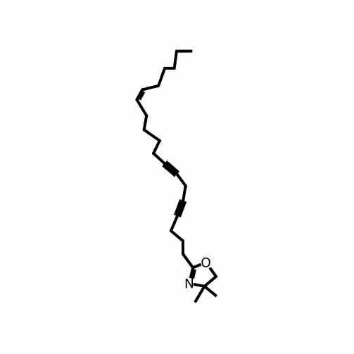 CCCCC/C=C\CCCCC#CCC#CCCCC1=NC(C)(C)CO1